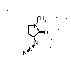 CN1CCC(N=[N+]=[N-])C1=O